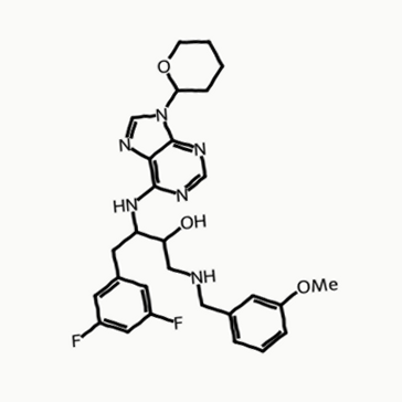 COc1cccc(CNCC(O)C(Cc2cc(F)cc(F)c2)Nc2ncnc3c2ncn3C2CCCCO2)c1